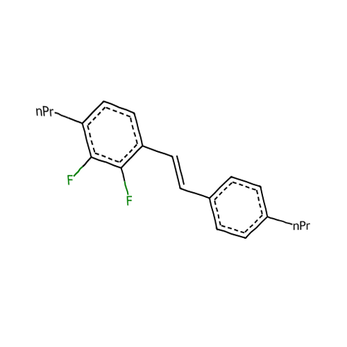 CCCc1ccc(C=Cc2ccc(CCC)c(F)c2F)cc1